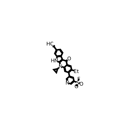 C#Cc1ccc2c(c1)[nH]c1c2c(=O)c2cc(CC)c(-c3cncc(S(=O)(=O)F)c3)cc2n1C1CC1